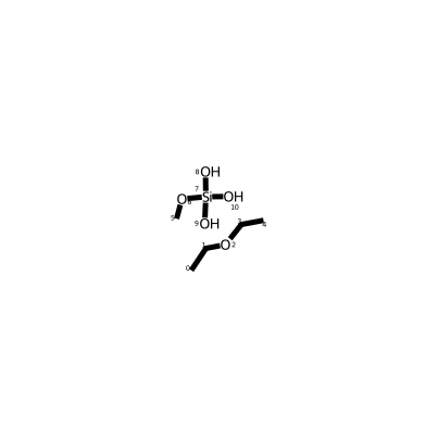 CCOCC.CO[Si](O)(O)O